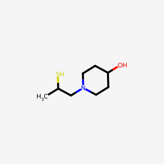 CC(S)CN1CCC(O)CC1